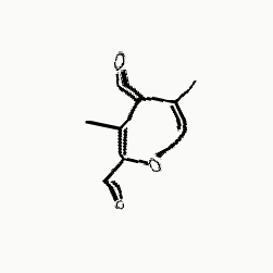 Cc1coc(C=O)c(C)c1=O